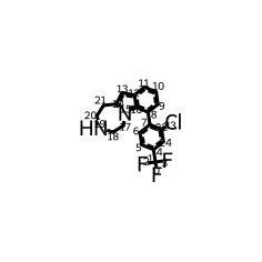 FC(F)(F)c1ccc(-c2cccc3cc4n(c23)CCNCC4)c(Cl)c1